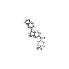 FC1(F)CCC(Nc2ncc3c(-c4ccc5nccn5n4)c[nH]c3n2)CC1